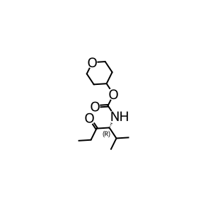 CCC(=O)[C@H](NC(=O)OC1CCOCC1)C(C)C